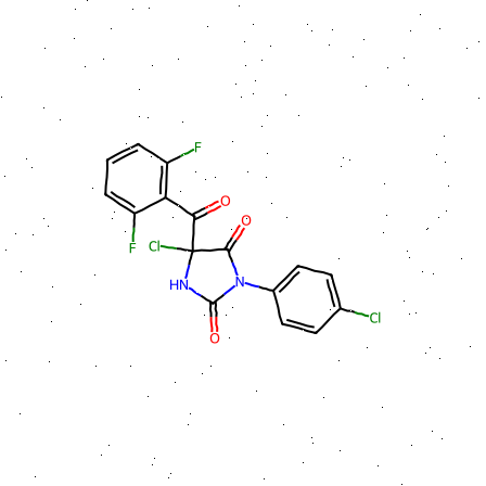 O=C1NC(Cl)(C(=O)c2c(F)cccc2F)C(=O)N1c1ccc(Cl)cc1